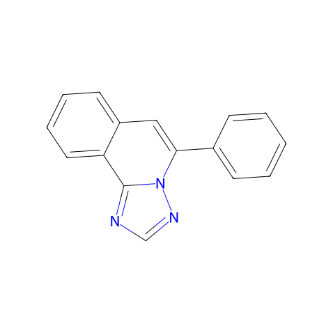 c1ccc(-c2cc3ccccc3c3ncnn23)cc1